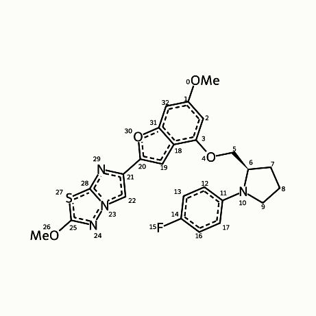 COc1cc(OC[C@H]2CCCN2c2ccc(F)cc2)c2cc(-c3cn4nc(OC)sc4n3)oc2c1